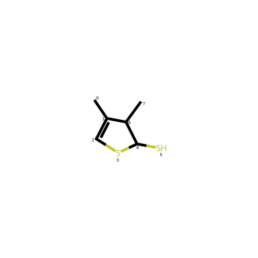 CC1=CSC(S)C1C